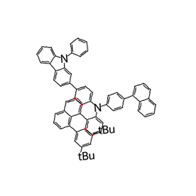 CC(C)(C)c1cc(-c2cccc3cccc(-c4ccccc4N(c4ccc(-c5ccc6c7ccccc7n(-c7ccccc7)c6c5)cc4)c4ccc(-c5cccc6ccccc56)cc4)c23)cc(C(C)(C)C)c1